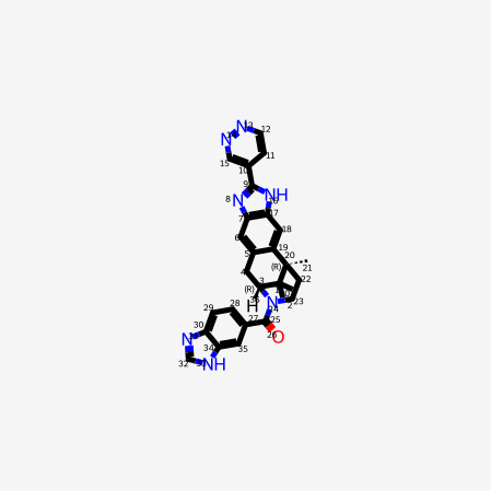 CC1(C)[C@H]2Cc3cc4nc(-c5ccnnc5)[nH]c4cc3[C@@]1(C)CCN2C(=O)c1ccc2nc[nH]c2c1